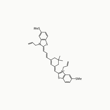 C=CCN1/C(=C/C=C/C2=CC(=C/c3sc4ccc(SC)cc4[n+]3CC=C)/CC(C)(C)C2)Sc2ccc(SC)cc21